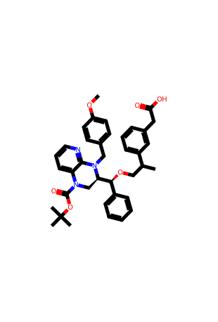 COc1ccc(CN2c3ncccc3N(C(=O)OC(C)(C)C)C[C@@H]2[C@@H](OCC(C)c2cccc(CC(=O)O)c2)c2ccccc2)cc1